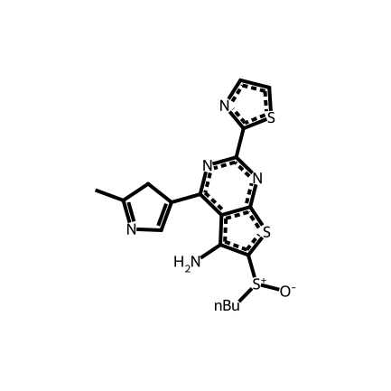 CCCC[S+]([O-])c1sc2nc(-c3nccs3)nc(C3=CN=C(C)C3)c2c1N